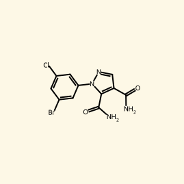 NC(=O)c1cnn(-c2cc(Cl)cc(Br)c2)c1C(N)=O